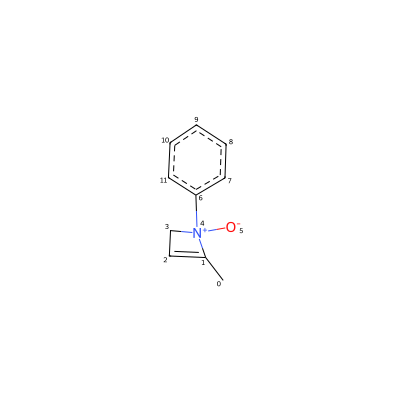 CC1=CC[N+]1([O-])c1ccccc1